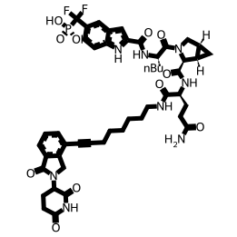 CCCC[C@H](NC(=O)c1cc2cc(C(F)(F)P(=O)(O)O)ccc2[nH]1)C(=O)N1C[C@H]2C[C@H]2[C@H]1C(=O)N[C@@H](CCC(N)=O)C(=O)NCCCCCCC#Cc1cccc2c1CN(C1CCC(=O)NC1=O)C2=O